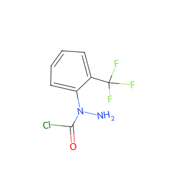 NN(C(=O)Cl)c1ccccc1C(F)(F)F